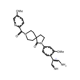 COc1ccc(C(=O)N2CCC3(CC2)CCN(c2ccc(/C(C=N)=C/N)c(OC)c2)C3=O)nc1